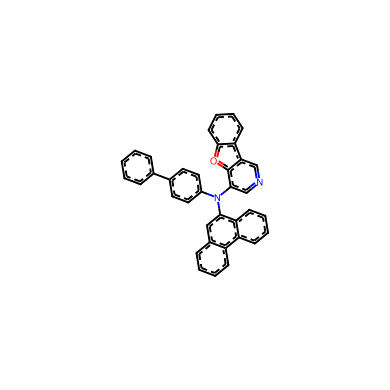 c1ccc(-c2ccc(N(c3cc4ccccc4c4ccccc34)c3cncc4c3oc3ccccc34)cc2)cc1